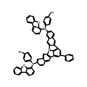 CC(C)c1ccc(N(c2ccc3cc4c5cc(-c6ccccc6)cc6c7cc8ccc(N(c9ccc(C(C)C)cc9)c9cccc%10c9oc9ccccc9%10)cc8cc7n(c4cc3c2)c56)c2cccc3c2oc2ccccc23)cc1